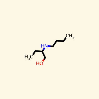 CCCCNC(CC)CO